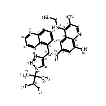 CC(C)(C)CNc1c(C#N)cnc2c(C#N)cc(N[C@H](c3cn(C(C)(C)C(F)F)nn3)c3cccc4ncccc34)cc12